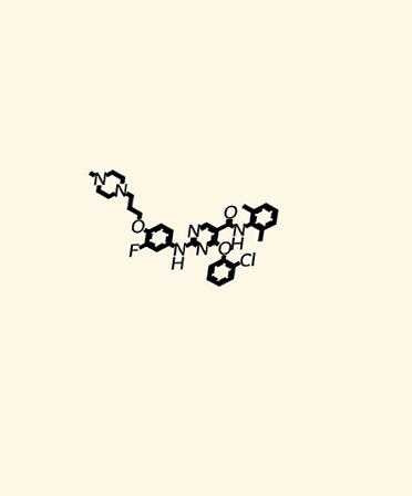 Cc1cccc(C)c1NC(=O)c1cnc(Nc2ccc(OCCCN3CCN(C)CC3)c(F)c2)nc1Oc1ccccc1Cl